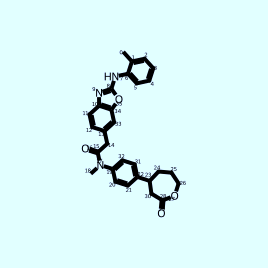 Cc1ccccc1Nc1nc2ccc(CC(=O)N(C)c3ccc(C4CCCOC(=O)C4)cc3)cc2o1